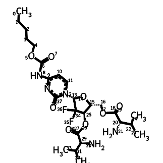 CCCCCOC(=O)Nc1ccn([C@@H]2O[C@H](COC(=O)[C@@H](N)C(C)C)[C@@H](OC(=O)[C@@H](N)C(C)C)C2(F)F)c(=O)n1